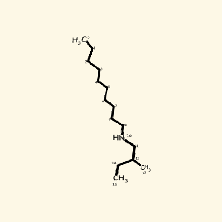 CCCCCCCCCCNCC(C)CC